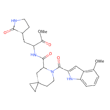 COC(=O)C(CC1CCNC1=O)NC(=O)C1CC2(CCN1C(=O)c1cc3c(OC)cccc3[nH]1)CC2